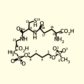 CS(=O)(=O)OCCCCOS(C)(=O)=O.NC(CCC(=O)NC(CS)C(=O)NCC(=O)O)C(=O)O